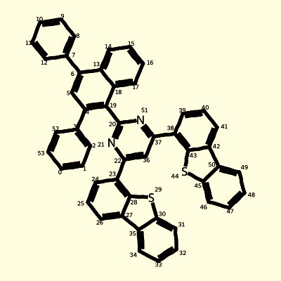 c1ccc(-c2cc(-c3ccccc3)c3ccccc3c2-c2nc(-c3cccc4c3sc3ccccc34)cc(-c3cccc4c3sc3ccccc34)n2)cc1